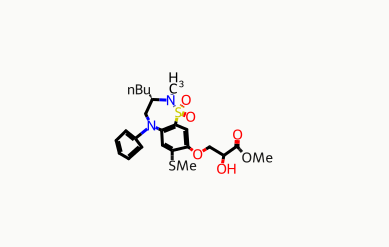 CCCC[C@H]1CN(c2ccccc2)c2cc(SC)c(OCC(O)C(=O)OC)cc2S(=O)(=O)N1C